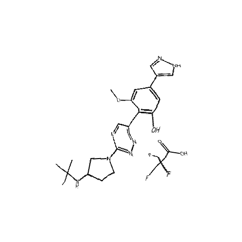 COc1cc(-c2cn[nH]c2)cc(O)c1-c1cnc(N2CCC(NC(C)(C)C)C2)nn1.O=C(O)C(F)(F)F